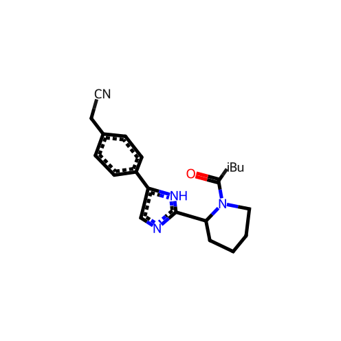 CCC(C)C(=O)N1CCCCC1c1ncc(-c2ccc(CC#N)cc2)[nH]1